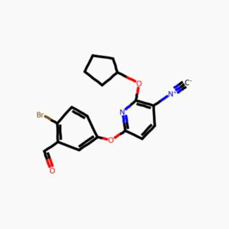 [C-]#[N+]c1ccc(Oc2ccc(Br)c(C=O)c2)nc1OC1CCCC1